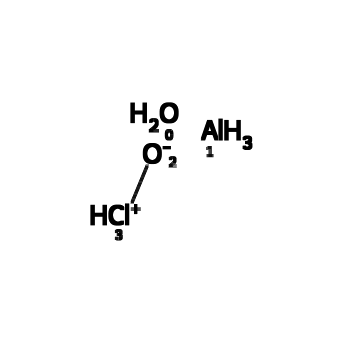 O.[AlH3].[O-][ClH+]